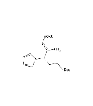 CCCCCCCCC=C(C)C(CCCCCCCCCCCC)n1cccc1